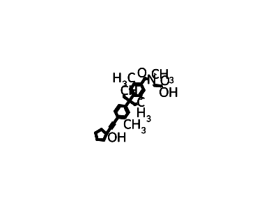 CCC(CC)(c1ccc(C#CC2(O)CCCC2)c(C)c1)c1ccc(C(=O)N(C)CC(=O)O)c(C)c1